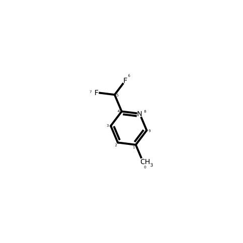 Cc1ccc(C(F)F)nc1